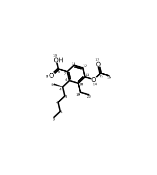 CCCC[C@@H](C)c1c(C(=O)O)ccc(OC(C)=O)c1CC